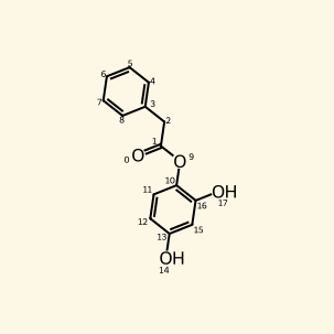 O=C(Cc1ccccc1)Oc1ccc(O)cc1O